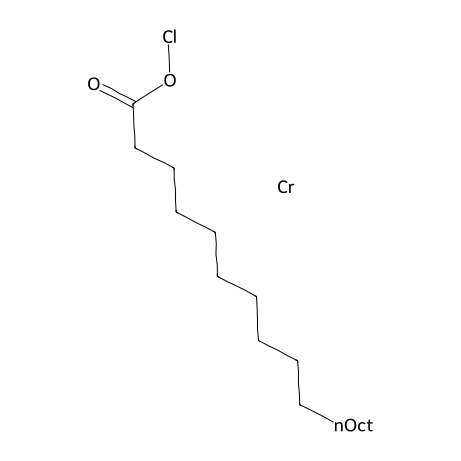 CCCCCCCCCCCCCCCCCC(=O)OCl.[Cr]